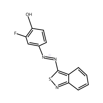 Oc1ccc(/N=N/c2snc3ccccc23)cc1F